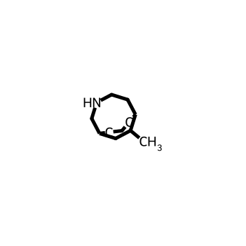 CC1CC2CCCC1CCNC2